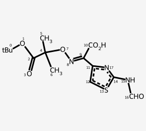 CC(C)(C)OC(=O)C(C)(C)ON=C(C(=O)O)c1csc(NC=O)n1